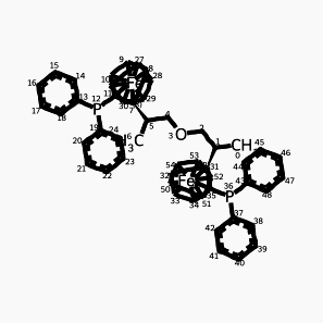 CC(COCC(C)[C@@]12[CH]3[CH]4[CH]5[C]1(P(c1ccccc1)c1ccccc1)[Fe]45321678[CH]2[CH]1[CH]6[CH]7[CH]28)[C@@]12[CH]3[CH]4[CH]5[C]1(P(c1ccccc1)c1ccccc1)[Fe]45321678[CH]2[CH]1[CH]6[CH]7[CH]28